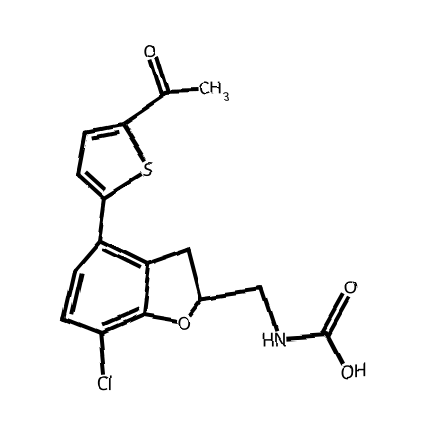 CC(=O)c1ccc(-c2ccc(Cl)c3c2CC(CNC(=O)O)O3)s1